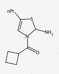 CCCC1=CN(C(=O)C2CCC2)C(N)S1